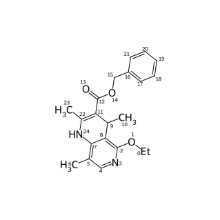 CCOc1ncc(C)c2c1C(C)C(C(=O)OCc1ccccc1)=C(C)N2